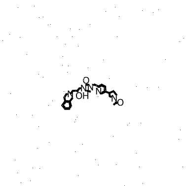 CC(=O)N1CCC(c2ccc(CN3CCN(CC(O)CN4CCc5ccccc5C4)C3=O)nc2)C1